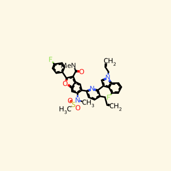 C=CCc1ccc(-c2cc3c(C(=O)NC)c(-c4ccc(F)cc4)oc3cc2N(C)S(C)(=O)=O)nc1-c1cn(CC=C)c2cccc(F)c12